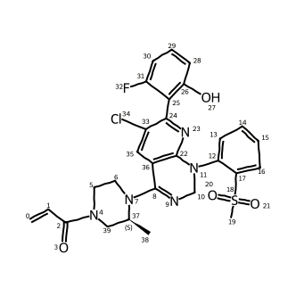 C=CC(=O)N1CCN(C2=NCN(c3ccccc3S(C)(=O)=O)c3nc(-c4c(O)cccc4F)c(Cl)cc32)[C@@H](C)C1